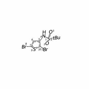 CC(C)(C)S(=O)(=O)Nc1cc(Br)sc1Br